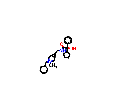 C[N+]1(CC2CCCCC2)CC2C(CNC(=O)C(O)(c3ccccc3)C3CCCC3)C2C1